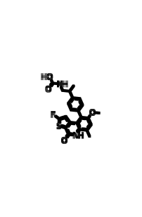 COc1cc(C)c2[nH]c(=O)c3sc(F)cc3c2c1-c1ccc(C(C)CNC(=O)O)cc1